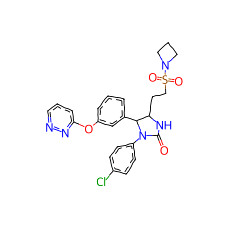 O=C1NC(CCS(=O)(=O)N2CCC2)C(c2cccc(Oc3cccnn3)c2)N1c1ccc(Cl)cc1